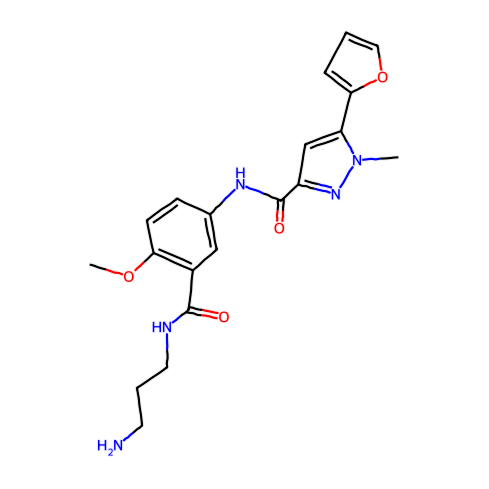 COc1ccc(NC(=O)c2cc(-c3ccco3)n(C)n2)cc1C(=O)NCCCN